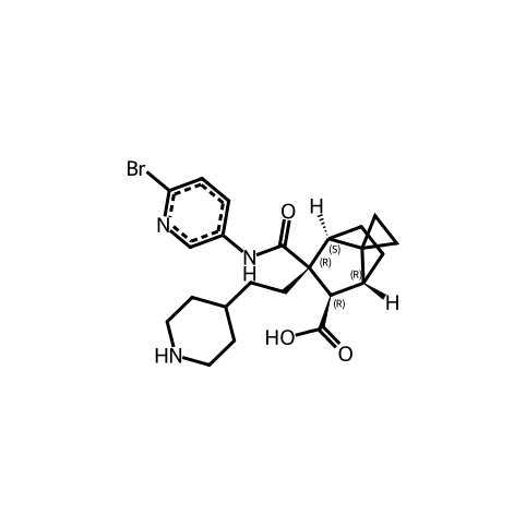 O=C(O)[C@@H]1[C@H]2CC[C@@H](C23CC3)[C@@]1(CCC1CCNCC1)C(=O)Nc1ccc(Br)nc1